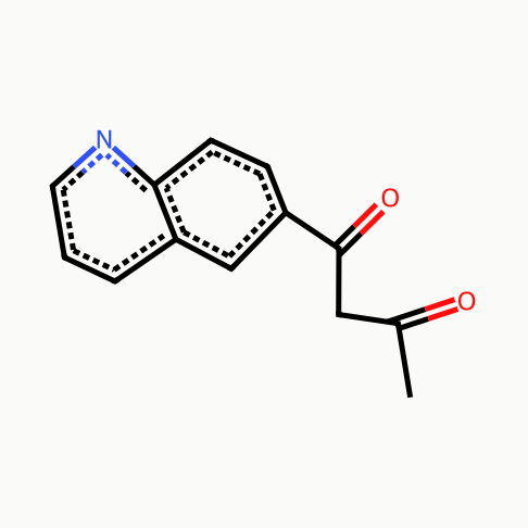 CC(=O)CC(=O)c1ccc2ncccc2c1